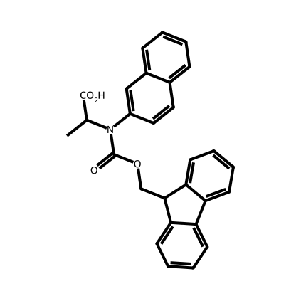 CC(C(=O)O)N(C(=O)OCC1c2ccccc2-c2ccccc21)c1ccc2ccccc2c1